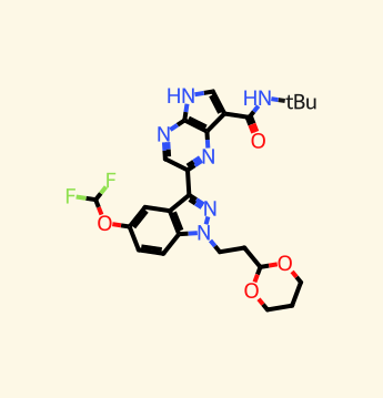 CC(C)(C)NC(=O)c1c[nH]c2ncc(-c3nn(CCC4OCCCO4)c4ccc(OC(F)F)cc34)nc12